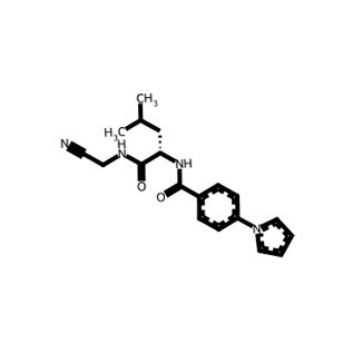 CC(C)C[C@H](NC(=O)c1ccc(-n2cccc2)cc1)C(=O)NCC#N